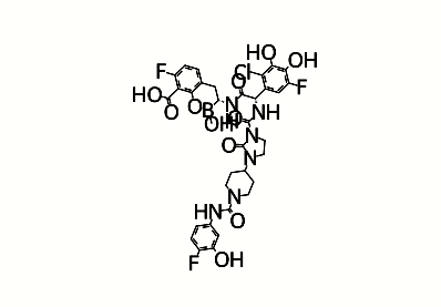 O=C(O)c1c(F)ccc2c1OB(O)[C@@H](NC(=O)[C@@H](NC(=O)N1CCN(C3CCN(C(=O)Nc4ccc(F)c(O)c4)CC3)C1=O)c1cc(F)c(O)c(O)c1Cl)C2